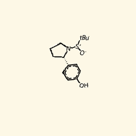 CC(C)(C)[S+]([O-])N1CCC[C@H]1c1ccc(O)cc1